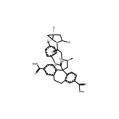 CNC(=O)c1ccc2c(c1)CCc1cc(C(=O)NC)ccc1C2(C[C@H](C)NCC(=O)N1C(C#N)C[C@@H]2C[C@@H]21)C(=N)Nc1ccc(F)cc1